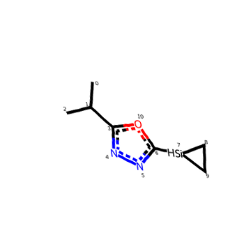 CC(C)c1nnc([SiH]2CC2)o1